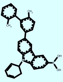 Cc1ccccc1-c1cc(-c2ccc3c(c2)c2cc(B(O)O)ccc2n3C2C=CC=CC2)ccc1C